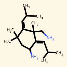 CC(C)C=C1C(N)CC(C)(C)C(=CC(C)C)C1(C)CN